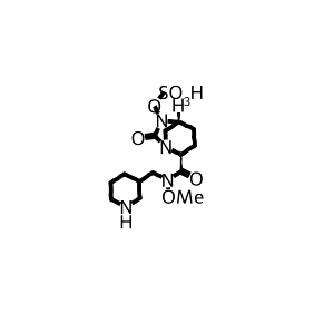 CON(CC1CCCNC1)C(=O)[C@@H]1CC[C@@H]2CN1C(=O)N2OS(=O)(=O)O